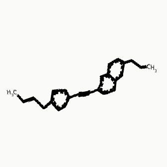 CCCCc1ccc(C#Cc2ccc3cc(CCC)ccc3c2)cc1